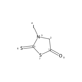 O=C1CN(I)C(=S)S1